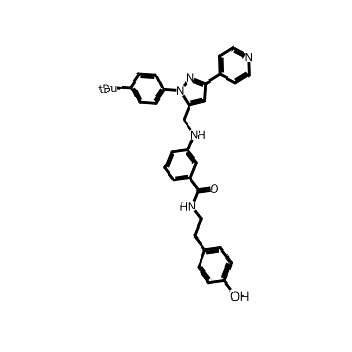 CC(C)(C)c1ccc(-n2nc(-c3ccncc3)cc2CNc2cccc(C(=O)NCCc3ccc(O)cc3)c2)cc1